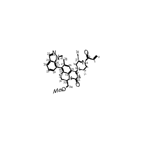 C=CC(=O)N1C[C@H](C)N(c2nc(=O)n3c4c(c(-c5cccc6cnn(C)c56)c(C)cc24)SCC3COC)C[C@H]1C